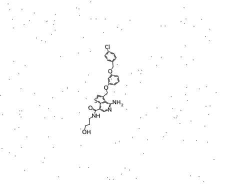 Nc1ncc(C(=O)NCCCO)c2scc(COc3cccc(OCc4ccc(Cl)cc4)c3)c12